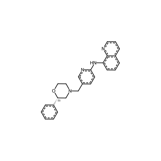 c1ccc([C@H]2CN(Cc3ccc(Nc4cccc5cccnc45)nc3)CCO2)cc1